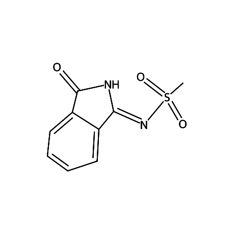 CS(=O)(=O)N=C1NC(=O)c2ccccc21